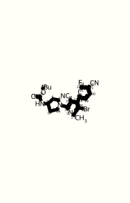 Cc1nc(N2CCC(NC(=O)OC(C)(C)C)CC2)c(C#N)c(-c2ccc(C#N)c(F)c2)c1Br